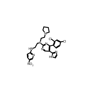 O=[N+]([O-])c1ccc(NCCN(CCN2CCCC2)c2ncc(-c3ncc[nH]3)c(-c3ccc(Cl)cc3Cl)n2)nc1